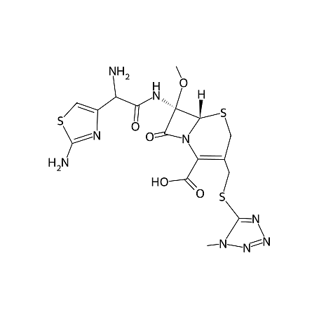 CO[C@]1(NC(=O)C(N)c2csc(N)n2)C(=O)N2C(C(=O)O)=C(CSc3nnnn3C)CS[C@H]21